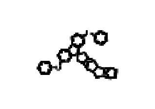 C1=CC2CC1C1CC3C4CC(C5CC6(CC54)c4cc(Oc5ccccc5)ccc4-c4ccc(Oc5ccccc5)cc46)C3C21